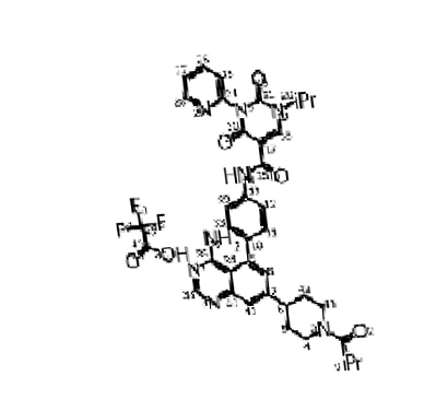 CC(C)C(=O)N1CCC(c2cc(-c3ccc(NC(=O)c4cn(C(C)C)c(=O)n(-c5ccccn5)c4=O)cc3)c3c(N)ncnc3c2)CC1.O=C(O)C(F)(F)F